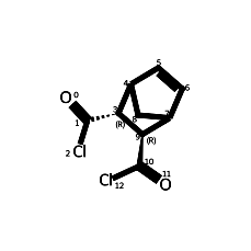 O=C(Cl)[C@@H]1C2C=CC(C2)[C@H]1C(=O)Cl